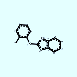 Cc1ccccc1Sc1nc2ccccc2s1